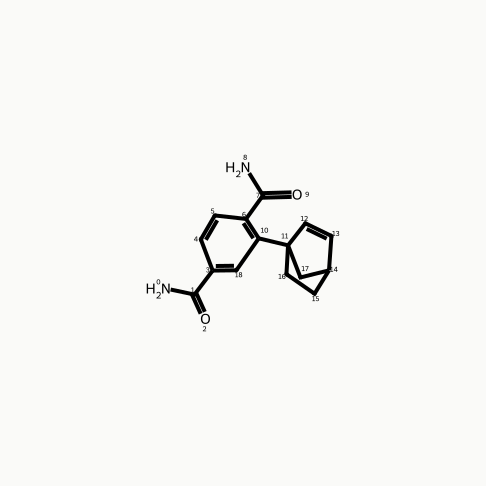 NC(=O)c1ccc(C(N)=O)c(C23C=CC(CC2)C3)c1